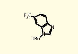 CC(C)(C)n1cnc2ccc(C(F)(F)F)cc21